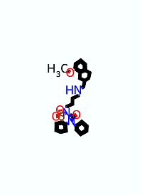 COc1cccc2c1CC(CNCCCCN1C(=O)N(c3ccccc3)c3ccccc3S1(=O)=O)CC2